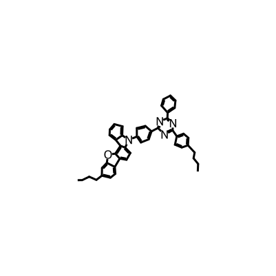 CCCCc1ccc(-c2nc(-c3ccccc3)nc(-c3ccc(-n4c5ccccc5c5c6oc7cc(CCCC)ccc7c6ccc54)cc3)n2)cc1